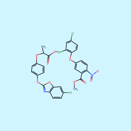 CC(Oc1ccc(Oc2nc3ccc(Cl)cc3o2)cc1)C(=O)O.COC(=O)c1cc(Oc2ccc(Cl)cc2Cl)ccc1[N+](=O)[O-]